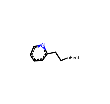 CCCCCCCc1ccccn1